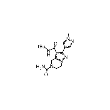 Cn1cc(-c2nn3c(c2C(=O)NC(C)(C)C)CN(C(N)=O)CC3)cn1